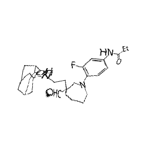 CCC(=O)Nc1ccc(N2CCCC(C=O)(CCNC34CC5CC(C3)C(O)C(C5)C4)C2)c(F)c1